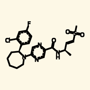 C[C@H](/C=C/S(C)(=O)=O)NC(=O)c1cnc(N2CCCCC[C@H]2c2ccc(F)cc2Cl)cn1